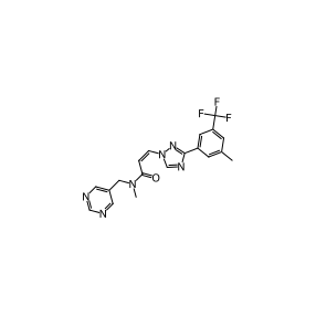 Cc1cc(-c2ncn(/C=C\C(=O)N(C)Cc3cncnc3)n2)cc(C(F)(F)F)c1